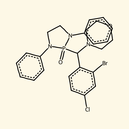 O=P1(C(c2ccc(Cl)cc2Br)N2CCOCC2)N(c2ccccc2)CCN1c1ccccc1